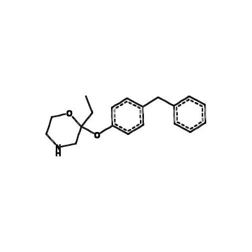 CCC1(Oc2ccc(Cc3ccccc3)cc2)CNCCO1